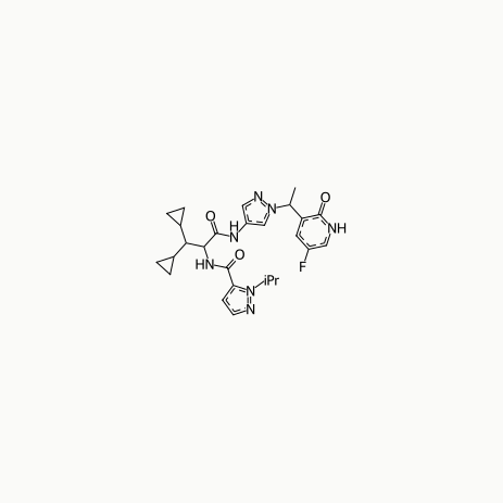 CC(c1cc(F)c[nH]c1=O)n1cc(NC(=O)C(NC(=O)c2ccnn2C(C)C)C(C2CC2)C2CC2)cn1